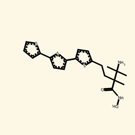 CC(C)(N)C(C)(CCc1ccc(-c2ccc(-c3cccs3)s2)s1)C(=O)NO